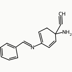 C#CC1(N)C=CC(N=Cc2ccccc2)=CC1